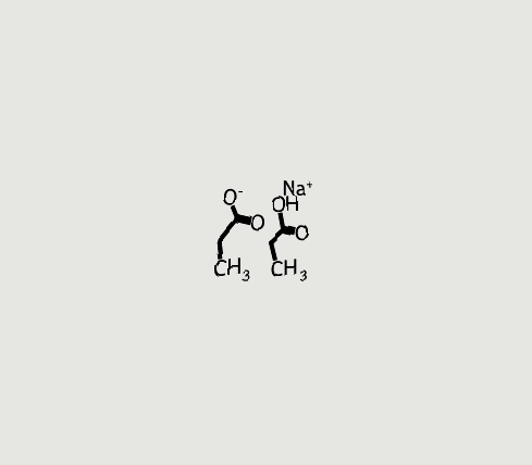 CCC(=O)O.CCC(=O)[O-].[Na+]